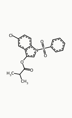 CC(C)C(=O)Oc1cn(S(=O)(=O)c2ccccc2)c2ccc(Cl)cc12